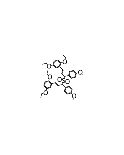 CCOc1ccc(OCC)c(C=CC(c2ccc(OC)cc2)S(=O)(=O)C(C=Cc2cc(OCC)ccc2OCC)c2ccc(OC)cc2)c1